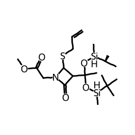 C=CCSC1C(C(C)(O[SiH](C)C(C)(C)C)O[SiH](C)C(C)(C)C)C(=O)N1CC(=O)OC